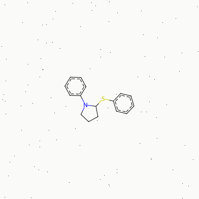 c1ccc(SC2CCCN2c2ccccc2)cc1